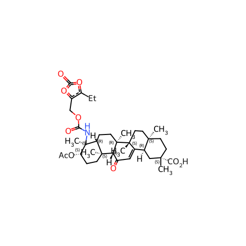 CCc1oc(=O)oc1COC(=O)N[C@]1(C)[C@@H](OC(C)=O)CC[C@@]2(C)[C@H]1CC[C@]1(C)[C@@H]2C(=O)C=C2[C@@H]3C[C@@](C)(C(=O)O)CC[C@]3(C)CC[C@]21C